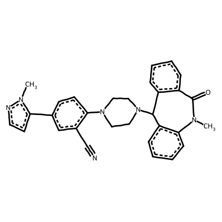 CN1C(=O)c2ccccc2C(N2CCN(c3ccc(-c4ccnn4C)cc3C#N)CC2)c2ccccc21